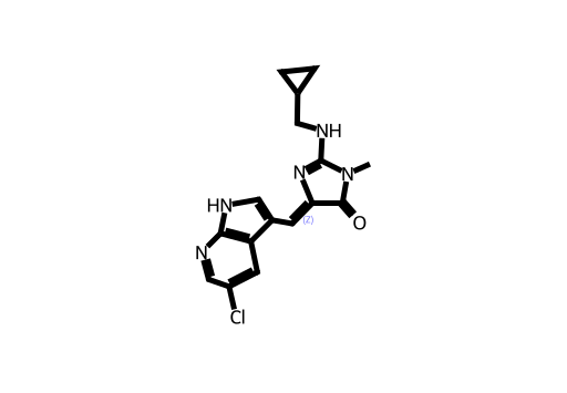 CN1C(=O)/C(=C/c2c[nH]c3ncc(Cl)cc23)N=C1NCC1CC1